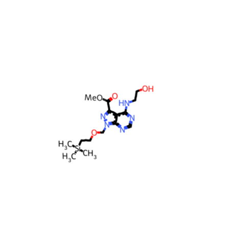 COC(=O)c1nn(COCC[Si](C)(C)C)c2ncnc(NCCO)c12